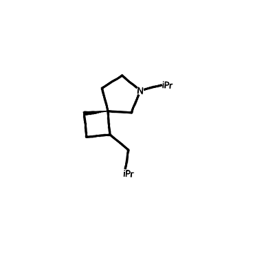 CC(C)CC1CC[C@]12CCN(C(C)C)C2